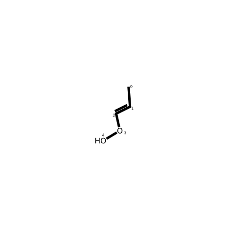 CC=COO